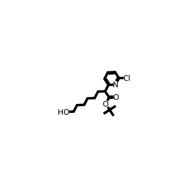 CC(C)(C)OC(=O)C(CCCCCCO)c1cccc(Cl)n1